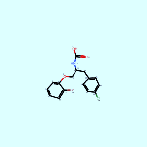 O=C(O)N[C@H](COc1ccccc1Br)Cc1ccc(Cl)cc1